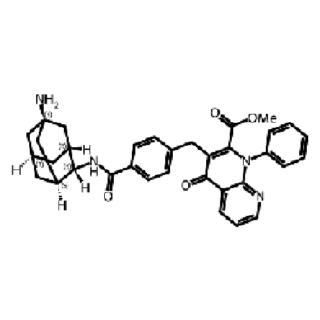 COC(=O)c1c(Cc2ccc(C(=O)N[C@H]3[C@@H]4C[C@H]5C[C@H]3C[C@](N)(C5)C4)cc2)c(=O)c2cccnc2n1-c1ccccc1